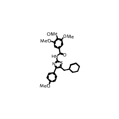 COc1ccc(-c2nc(NC(=O)c3cc(OC)c(OC)c(OC)c3)sc2CC2CCCCC2)cc1